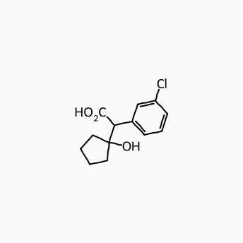 O=C(O)C(c1cccc(Cl)c1)C1(O)CCCC1